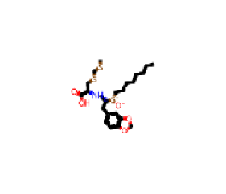 CCCCCCCC[S+]([O-])C(C)Cc1ccc2c(c1)OCO2.CSCSCC(N)C(=O)O